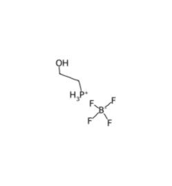 F[B-](F)(F)F.OCC[PH3+]